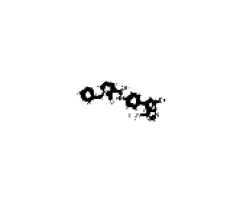 CCc1cc(-c2ccc(NC(O)c3cccn(Cc4ccccc4)c3=O)cc2)c2c(N)ncnn12